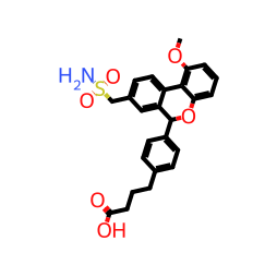 COc1cccc2c1-c1ccc(CS(N)(=O)=O)cc1C(c1ccc(CCCC(=O)O)cc1)O2